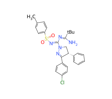 Cc1ccc(S(=O)(=O)/N=C(\N=C(/N)C(C)(C)C)N2C[C@H](c3ccccc3)C(c3ccc(Cl)cc3)=N2)cc1